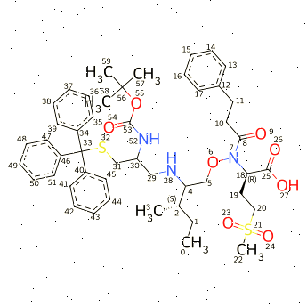 CC[C@H](C)C(CON(C(=O)CCc1ccccc1)[C@H](CCS(C)(=O)=O)C(=O)O)NCC(CSC(c1ccccc1)(c1ccccc1)c1ccccc1)NC(=O)OC(C)(C)C